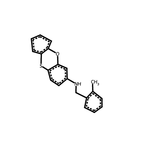 Cc1ccccc1CNc1ccc2c(c1)Oc1ccccc1S2